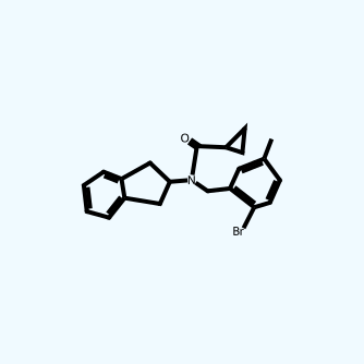 Cc1ccc(Br)c(CN(C(=O)C2CC2)C2Cc3ccccc3C2)c1